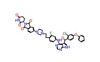 O=C1CC[C@H](N2C(=O)c3ccc(N4CCN(CCc5ccc(Nc6ncnc7[nH]cc(C(=O)c8ccc(Oc9ccccc9)cc8Cl)c67)cc5F)CC4)cc3C2=O)C(=O)N1